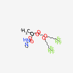 [CH2]c1cc(COC(=O)CCC(OCCCCCCC(F)(F)C(F)(F)F)OCCCCCCC(F)(F)C(F)(F)F)cc(COC(=O)NCCN2CCCC2)c1